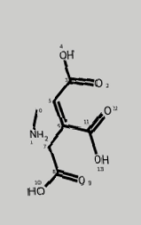 CN.O=C(O)C=C(CC(=O)O)C(=O)O